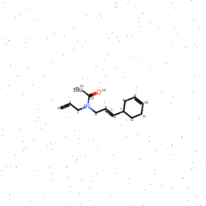 C=CCN(C/C=C/C1CC=CCC1)C(=O)C(C)(C)C